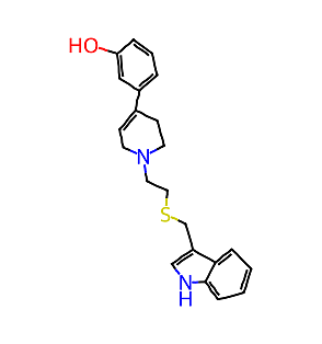 Oc1cccc(C2=CCN(CCSCc3c[nH]c4ccccc34)CC2)c1